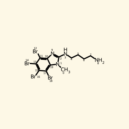 Cn1c(NCCCCN)nc2c(Br)c(Br)c(Br)c(Br)c21